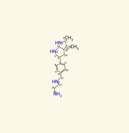 CC1NC2NCC(c3ccc(CNCCN)cc3)CC2C1C